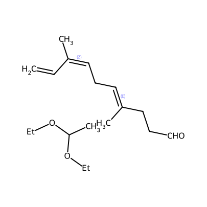 C=C/C(C)=C\C/C=C(\C)CCC=O.CCOC(C)OCC